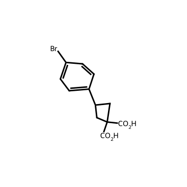 O=C(O)C1(C(=O)O)CC(c2ccc(Br)cc2)C1